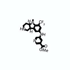 COC(=O)c1cncc(Nc2cc3c(c(C(F)(F)F)c2)N(C)[C@H]2CCNC[C@@H]32)c1